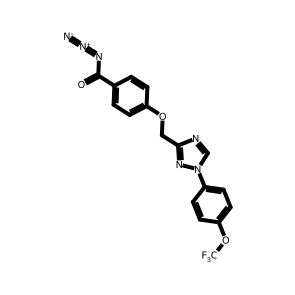 [N-]=[N+]=NC(=O)c1ccc(OCc2ncn(-c3ccc(OC(F)(F)F)cc3)n2)cc1